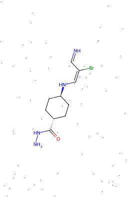 N=C/C(Br)=C\N[C@H]1CC[C@H](C(=O)NN)CC1